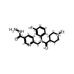 CCN1CCC(C(=O)N(Cc2ccc(C(=O)NN)cn2)c2cccc(F)c2)CC1